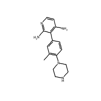 Cc1cc(-c2c(N)ccnc2N)ccc1N1CCNCC1